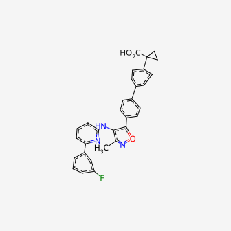 Cc1noc(-c2ccc(-c3ccc(C4(C(=O)O)CC4)cc3)cc2)c1Nc1cccc(-c2cccc(F)c2)n1